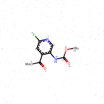 COC(=O)c1cc(F)ncc1NC(=O)OC(C)(C)C